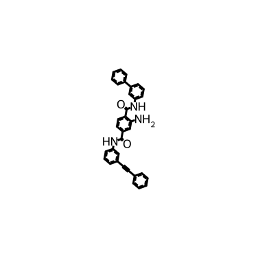 Nc1cc(C(=O)Nc2cccc(C#Cc3ccccc3)c2)ccc1C(=O)Nc1cccc(-c2ccccc2)c1